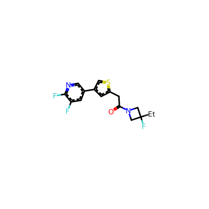 CCC1(F)CN(C(=O)Cc2cc(-c3cnc(F)c(F)c3)cs2)C1